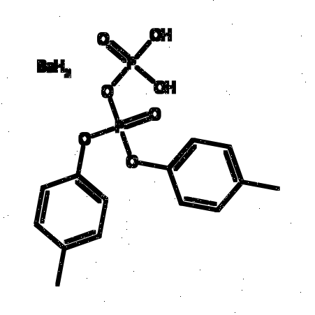 Cc1ccc(OP(=O)(Oc2ccc(C)cc2)OP(=O)(O)O)cc1.[BaH2]